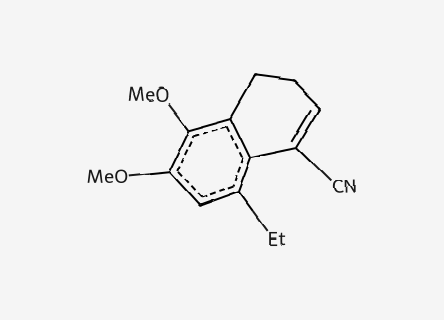 CCc1cc(OC)c(OC)c2c1C(C#N)=CCC2